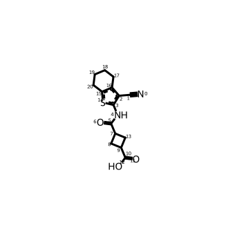 N#Cc1c(NC(=O)C2CC(C(=O)O)C2)sc2c1CCCC2